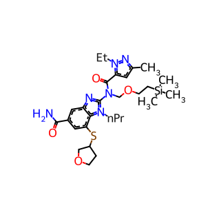 CCCn1c(N(COCC[Si](C)(C)C)C(=O)c2cc(C)nn2CC)nc2cc(C(N)=O)cc(SC3CCOC3)c21